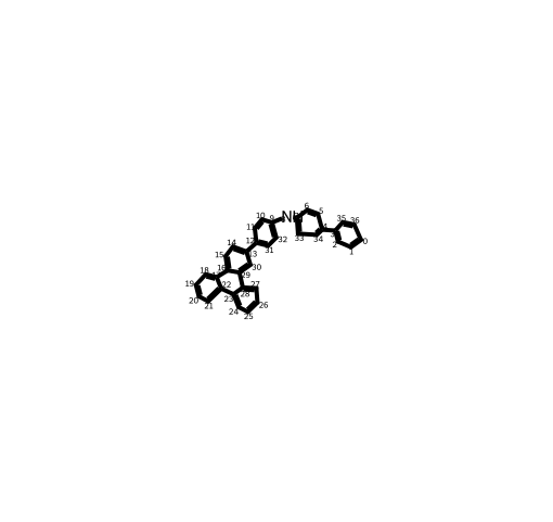 c1ccc(-c2ccc(Nc3ccc(-c4ccc5c6ccccc6c6ccccc6c5c4)cc3)cc2)cc1